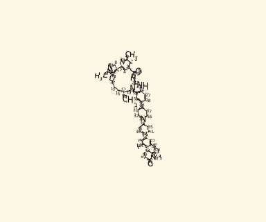 Cc1cc2cc(n1)-c1cnn(C)c1OCCC[C@@H](C)CN1/C(=N/C2=O)Nc2ccc(C3CCN(C4CCN(c5cc(F)c([C@H]6CCC(=O)NC6=O)c(F)c5)CC4)CC3)cc21